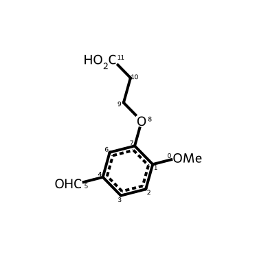 COc1ccc(C=O)cc1OCCC(=O)O